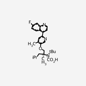 Cc1cc(-c2ccnc3cc(F)ccc23)ncc1OC[C@](C)(CC(C)C)N(C(=O)O)C(C)(C)C